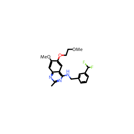 COCCOc1cc2c(NCc3cccc(C(F)F)c3)nc(C)nc2cc1OC